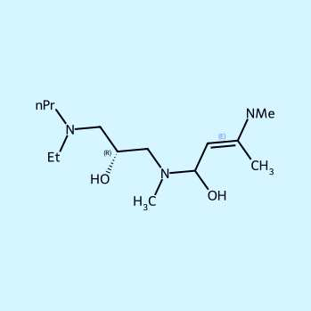 CCCN(CC)C[C@@H](O)CN(C)C(O)/C=C(\C)NC